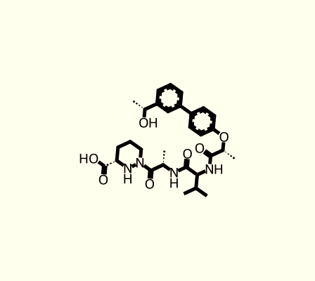 CC(C)C(NC(=O)[C@@H](C)Oc1ccc(-c2cccc([C@@H](C)O)c2)cc1)C(=O)N[C@@H](C)C(=O)N1CCC[C@@H](C(=O)O)N1